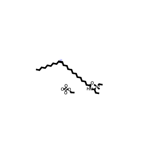 CCCCCCCC/C=C\CCCCCCCCCCCC(=O)NC(CC)[N+](C)(C)CC.CCOS(=O)(=O)[O-]